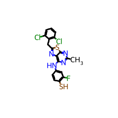 Cc1nc(Nc2ccc(S)c(F)c2)c2nc(Cc3c(Cl)cccc3Cl)sc2n1